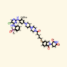 COc1cc(N2CCC(N3CCN(C(=O)CCCCSc4ccc5c(c4)CN(C4CCC(=O)NC4=O)C5=O)CC3)CC2)ccc1Nc1ncc(Cl)c(Nc2ccccc2P(C)(C)=O)n1